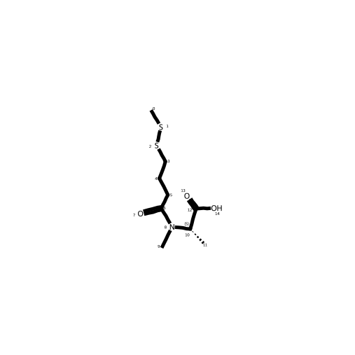 CSSCCCC(=O)N(C)[C@@H](C)C(=O)O